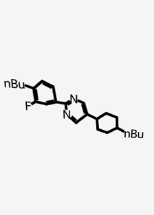 CCCCc1ccc(-c2ncc(C3CCC(CCCC)CC3)cn2)cc1F